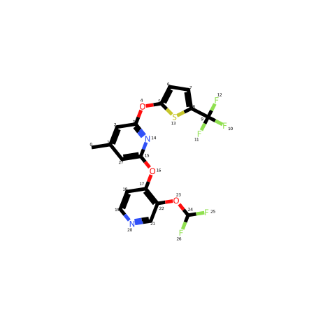 Cc1cc(Oc2ccc(C(F)(F)F)s2)nc(Oc2ccncc2OC(F)F)c1